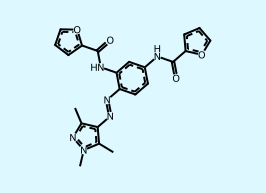 Cc1nn(C)c(C)c1/N=N/c1ccc(NC(=O)c2ccco2)cc1NC(=O)c1ccco1